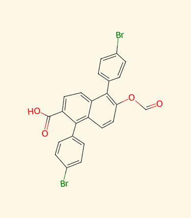 O=COc1ccc2c(-c3ccc(Br)cc3)c(C(=O)O)ccc2c1-c1ccc(Br)cc1